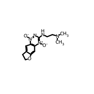 CN(C)CCNc1n[n+]([O-])c2cc3c(cc2[n+]1[O-])OCC3